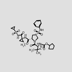 C[C@@H]1C[C@]1(NC(=O)[C@@H]1CN(S(=O)(=O)Nc2ccccc2)CN1C(=O)[C@@H](NC(=O)OC1CCCC1)C(C)(C)C)C(=O)NS(=O)(=O)C1CC1